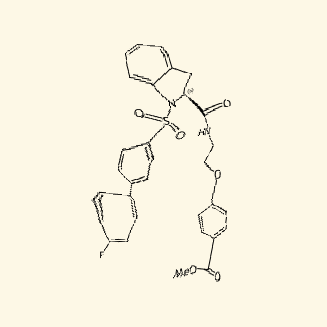 COC(=O)c1ccc(OCCNC(=O)[C@@H]2Cc3ccccc3N2S(=O)(=O)c2ccc(-c3ccc(F)cc3)cc2)cc1